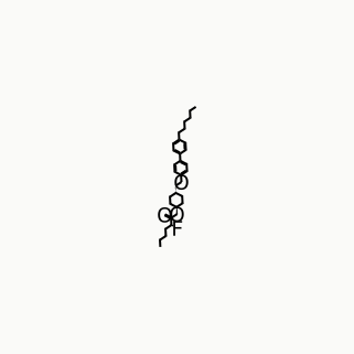 CCCCCCc1ccc(-c2ccc(OC[C@H]3CC[C@H](OC(=O)[C@@H](F)CCCC)CC3)cc2)cc1